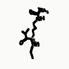 CCN[C@@H](CCCCNC(N)=O)C(=O)C(C)C